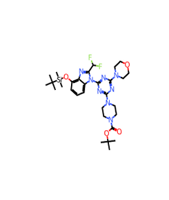 CC(C)(C)OC(=O)N1CCN(c2nc(N3CCOCC3)nc(-n3c(C(F)F)nc4c(O[Si](C)(C)C(C)(C)C)cccc43)n2)CC1